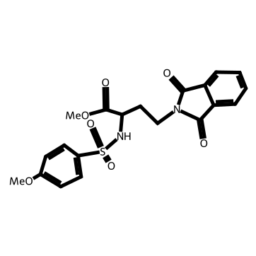 COC(=O)C(CCN1C(=O)c2ccccc2C1=O)NS(=O)(=O)c1ccc(OC)cc1